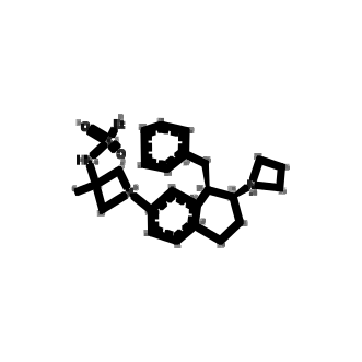 CCS(=O)(=O)NC1(C)CN(c2ccc3c(c2)[C@@H](Cc2ccccc2)[C@@H](N2CCC2)CC3)C1